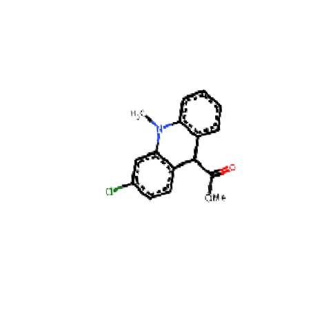 COC(=O)C1c2ccccc2N(C)c2cc(Cl)ccc21